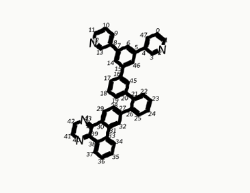 c1cncc(-c2cc(-c3cccnc3)cc(-c3cccc(-c4ccccc4-c4ccc5c(c4)c4ccccc4c4nccnc54)c3)c2)c1